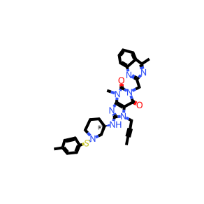 CC#CCn1c(N[C@@H]2CCCN(Sc3ccc(C)cc3)C2)nc2c1c(=O)n(Cc1nc(C)c3ccccc3n1)c(=O)n2C